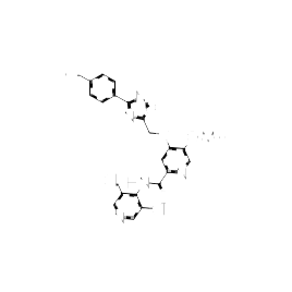 COc1cnc(C(=O)Nc2c(Cl)cncc2Cl)cc1OCc1nc(-c2ccc(Cl)cc2)no1